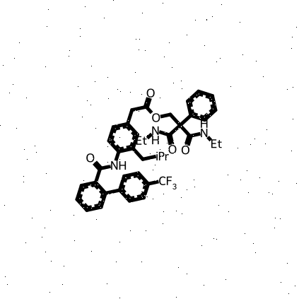 CCNC(=O)C(COC(=O)Cc1ccc(NC(=O)c2ccccc2-c2ccc(C(F)(F)F)cc2)c(CC(C)C)c1)(C(=O)NCC)c1ccccc1